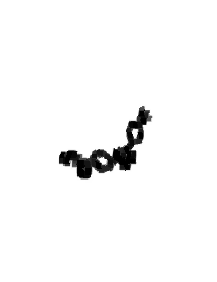 CCCOc1ccc(-n2cc(-c3ccc(N(C)C)cc3)nn2)cc1